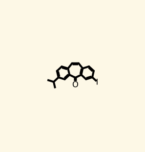 CC(C)c1ccc2ccc3ccc(I)cc3c(=O)c2c1